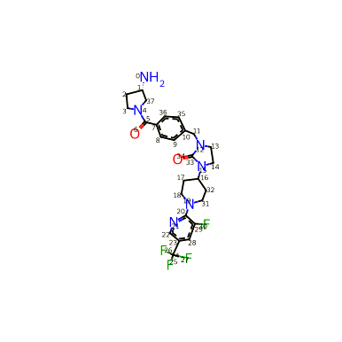 N[C@H]1CCN(C(=O)c2ccc(CN3CCN(C4CCN(c5ncc(C(F)(F)F)cc5F)CC4)C3=O)cc2)C1